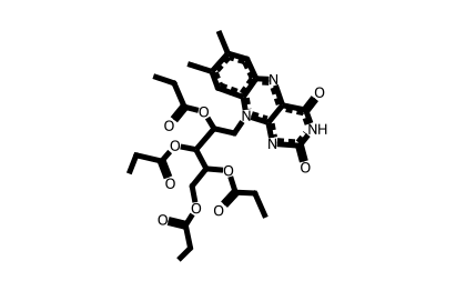 CCC(=O)OCC(OC(=O)CC)C(OC(=O)CC)C(Cn1c2nc(=O)[nH]c(=O)c-2nc2cc(C)c(C)cc21)OC(=O)CC